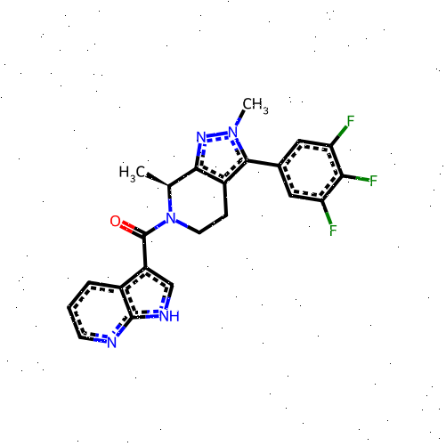 C[C@H]1c2nn(C)c(-c3cc(F)c(F)c(F)c3)c2CCN1C(=O)c1c[nH]c2ncccc12